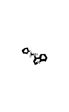 O=C(Nc1ccnc2ccccc12)Oc1ccccc1